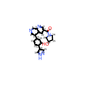 O=C(c1cnc2cncc(-c3ccc(-c4cn[nH]c4)cc3)c2c1)N1CCC(O)C1